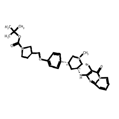 CN1C[C@H](Nc2nc3ccccn3c(=O)c2Br)C[C@H](c2ccc(OCC3CCN(C(=O)OC(C)(C)C)C3)cc2)C1